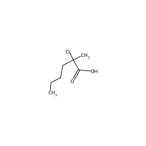 CCCCC(C)(Cl)C(=O)O